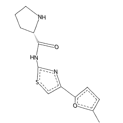 O=C(O)c1ccc(-c2csc(NC(=O)[C@@H]3CCCN3)n2)o1